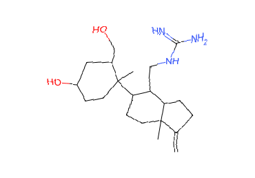 C=C1CCC2C(CNC(=N)N)C(C3(C)CCC(O)CC3CO)CCC12C